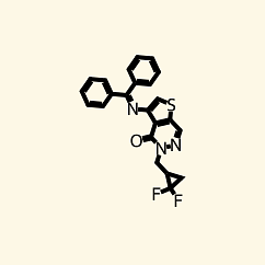 O=c1c2c(N=C(c3ccccc3)c3ccccc3)csc2cnn1CC1CC1(F)F